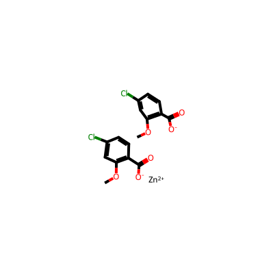 COc1cc(Cl)ccc1C(=O)[O-].COc1cc(Cl)ccc1C(=O)[O-].[Zn+2]